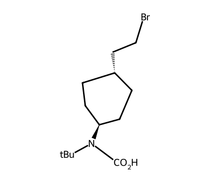 CC(C)(C)N(C(=O)O)[C@H]1CC[C@H](CCBr)CC1